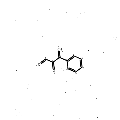 C=C(C(=O)C=O)c1ccccc1